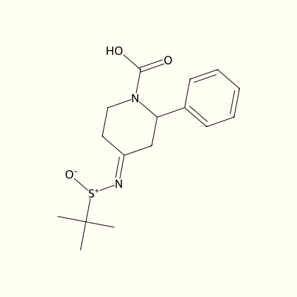 CC(C)(C)[S+]([O-])N=C1CCN(C(=O)O)C(c2ccccc2)C1